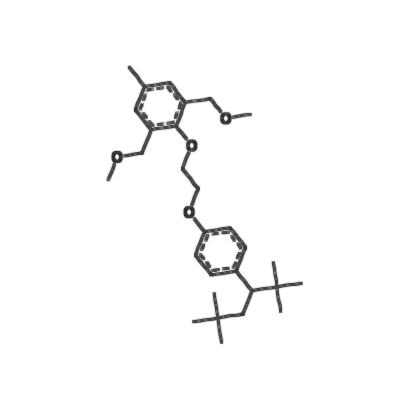 COCc1cc(C)cc(COC)c1OCCOc1ccc(C(CC(C)(C)C)C(C)(C)C)cc1